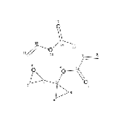 C=CC(=O)OC1(C2CO2)CC1.C=COC(C)=O